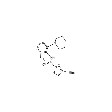 Cc1cccc(N2CCCCC2)c1NC(=O)c1ccc(C#N)o1